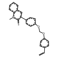 C=Cc1ccc(OCOc2ccc(-c3cc4ccccc4n(C)c3=S)cc2)cc1